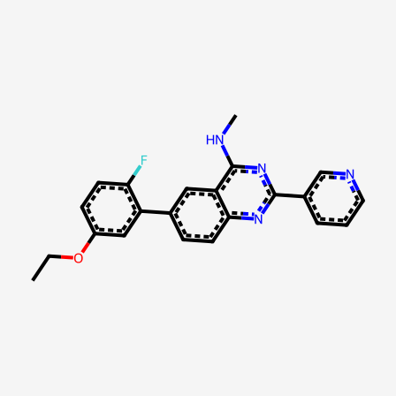 CCOc1ccc(F)c(-c2ccc3nc(-c4cccnc4)nc(NC)c3c2)c1